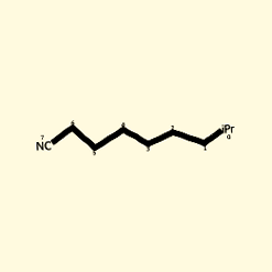 CC(C)CCCCCCC#N